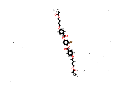 C=CC(=O)OCCCCOc1ccc(C(=O)Oc2ccc(OC(=O)c3ccc(OCCCCOC(=O)C=C)cc3)c(Br)c2)cc1